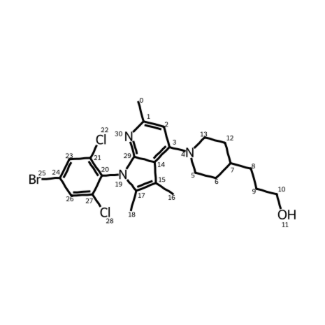 Cc1cc(N2CCC(CCCO)CC2)c2c(C)c(C)n(-c3c(Cl)cc(Br)cc3Cl)c2n1